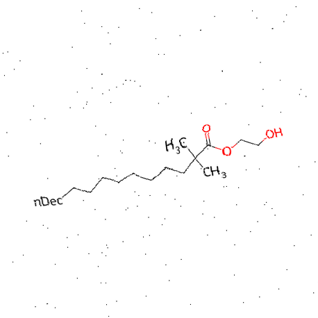 CCCCCCCCCCCCCCCCCCC(C)(C)C(=O)OCCO